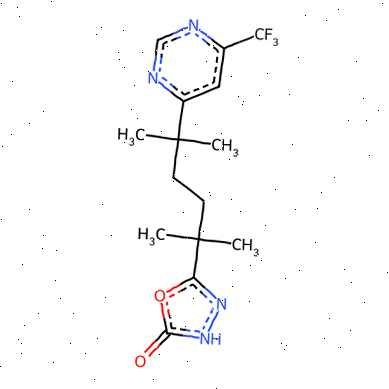 CC(C)(CCC(C)(C)c1n[nH]c(=O)o1)c1cc(C(F)(F)F)ncn1